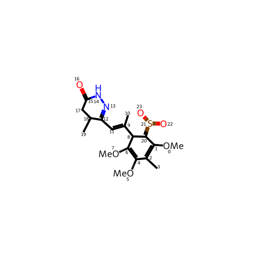 COC1=C(C)C(OC)=C(OC)C(C(C)=CC2=NNC(=O)CC2C)C1=S(=O)=O